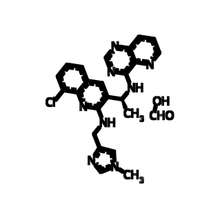 C[C@H](Nc1ncnc2cccnc12)c1cc2cccc(Cl)c2nc1NCc1cn(C)cn1.O=CO